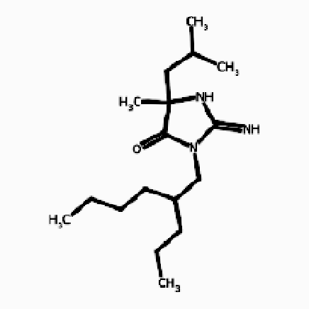 CCCCC(CCC)CN1C(=N)NC(C)(CC(C)C)C1=O